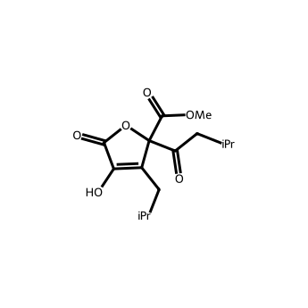 COC(=O)C1(C(=O)CC(C)C)OC(=O)C(O)=C1CC(C)C